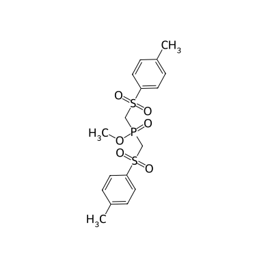 COP(=O)(CS(=O)(=O)c1ccc(C)cc1)CS(=O)(=O)c1ccc(C)cc1